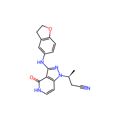 C[C@@H](CC#N)n1nc(Nc2ccc3c(c2)CCO3)c2c(=O)[nH]ccc21